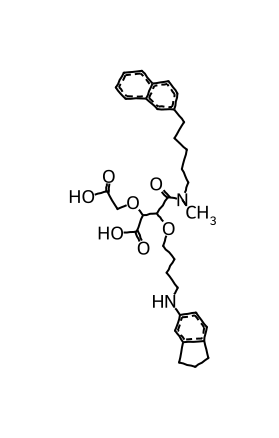 CN(CCCCCc1ccc2ccccc2c1)C(=O)C(OCCCCNc1ccc2c(c1)CCC2)C(OCC(=O)O)C(=O)O